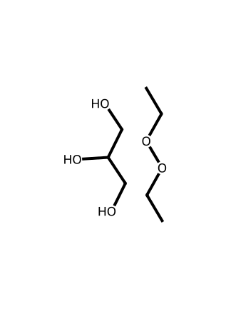 CCOOCC.OCC(O)CO